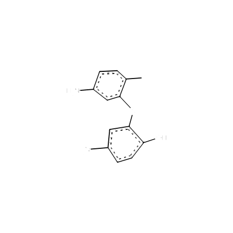 Nc1ccc(O)c(Sc2cc(N)ccc2O)c1